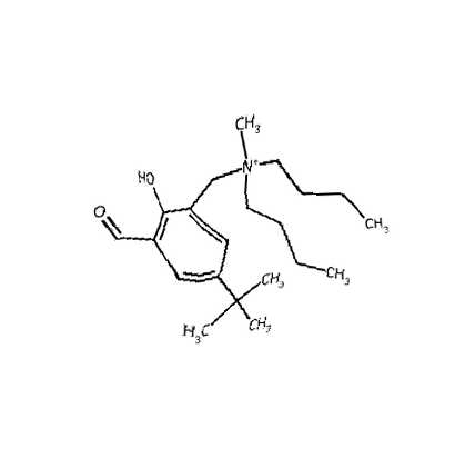 CCCC[N+](C)(CCCC)Cc1cc(C(C)(C)C)cc(C=O)c1O